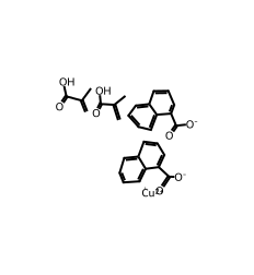 C=C(C)C(=O)O.C=C(C)C(=O)O.O=C([O-])c1cccc2ccccc12.O=C([O-])c1cccc2ccccc12.[Cu+2]